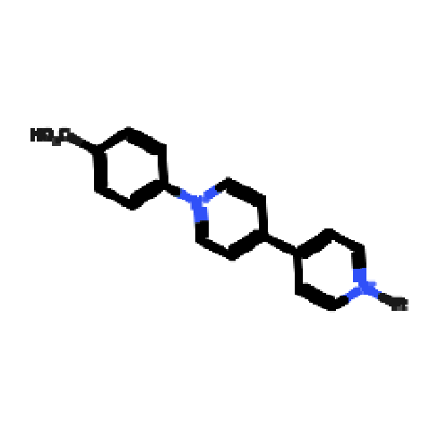 CC[n+]1ccc(-c2cc[n+](-c3ccc(C(=O)O)cc3)cc2)cc1